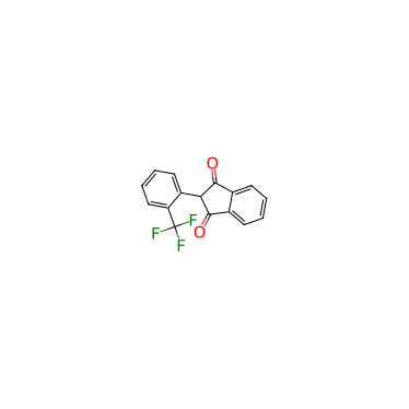 O=C1c2ccccc2C(=O)C1c1ccccc1C(F)(F)F